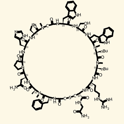 CCCC[C@H]1C(=O)N(C)[C@@H](CCCC)C(=O)N[C@@H](CCCNC(=N)N)C(=O)N[C@H](C(=O)NCC(N)=O)CSCC(=O)N[C@@H](Cc2ccccc2)C(=O)N(C)[C@@H](C)C(=O)N[C@@H](CC(N)=O)C(=O)N2CCC[C@H]2C(=O)N[C@@H](Cc2cnc[nH]2)C(=O)N[C@@H](CC(C)C)C(=O)N(C)CC(=O)N[C@@H](Cc2c[nH]c3ccccc23)C(=O)N[C@@H](CO)C(=O)NC(Cc2c[nH]c3ccccc23)C(=O)N1C